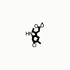 COC(=O)Cc1c(C)[nH]c2cc(Cl)c(C)cc12